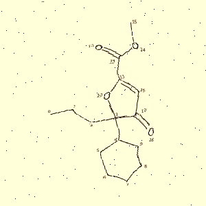 CCCC1(C2CCCCC2)OC(C(=O)OC)=CC1=O